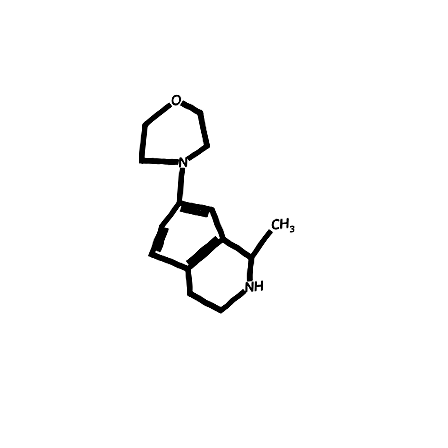 CC1NCCc2ccc(N3CCOCC3)cc21